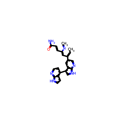 C=NC(=C\C(=C/C)c1cnc2[nH]cc(-c3ccnc4[nH]ccc34)c2c1)/C=C/C(N)=O